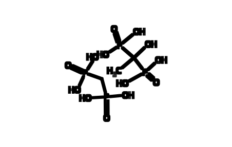 CC(O)(P(=O)(O)O)P(=O)(O)O.O=P(O)(O)CP(=O)(O)O